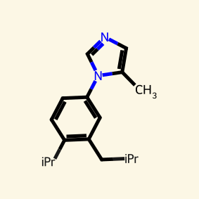 Cc1cncn1-c1ccc(C(C)C)c(CC(C)C)c1